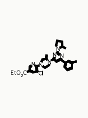 CCOC(=O)c1cnc(N2CCN(c3cc(-c4cccc(C)c4)nc(N4CCCC4C)n3)C(C)C2)c(Cl)c1